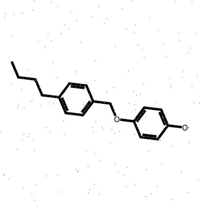 CCCCc1ccc(COc2ccc([O])cc2)cc1